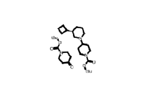 CC(C)(C)OC(=O)N1CCC(=O)CC1.CC(C)(C)OC(=O)N1CCC(N2CCC[C@H](C3CCC3)C2)CC1